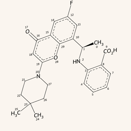 C[C@@H](Nc1ccccc1C(=O)O)c1cc(F)cc2c(=O)cc(N3CCC(C)(C)CC3)oc12